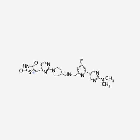 CN(C)c1ncc(-c2cc(F)cc(CNCC3CCN(c4nccc(/C=C5/SC(=O)NC5=O)n4)CC3)n2)cn1